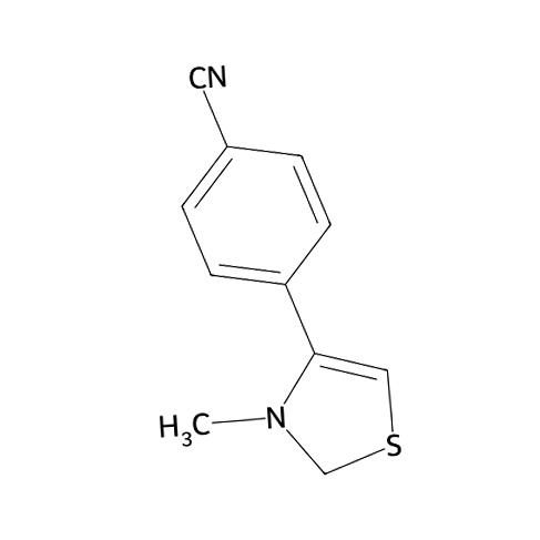 CN1CSC=C1c1ccc(C#N)cc1